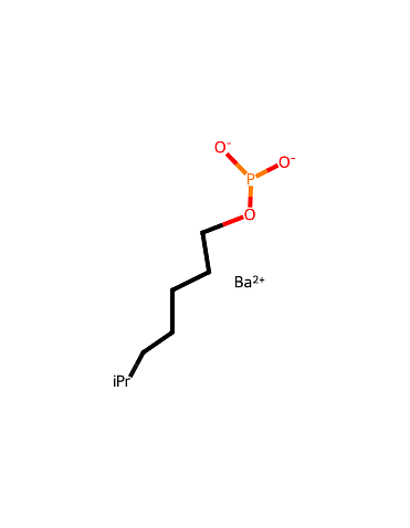 CC(C)CCCCCOP([O-])[O-].[Ba+2]